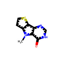 Cn1c2ccsc2c2nc[nH]c(=O)c21